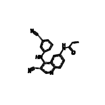 C=CC(=O)Nc1ccc2ncc(C#N)c(Nc3cccc(C#N)c3)c2c1